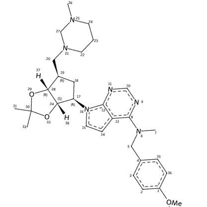 COc1ccc(CN(C)c2ncnc3c2ccn3[C@@H]2C[C@H](CN3CCCN(C)C3)[C@H]3OC(C)(C)O[C@H]32)cc1